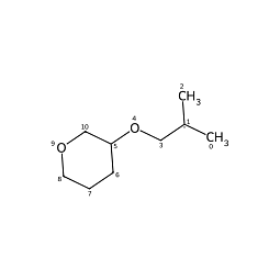 C[C](C)COC1CCCOC1